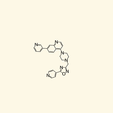 c1cncc(-c2ccc3c(N4CCN(Cc5noc(-c6ccncc6)n5)CC4)ccnc3c2)c1